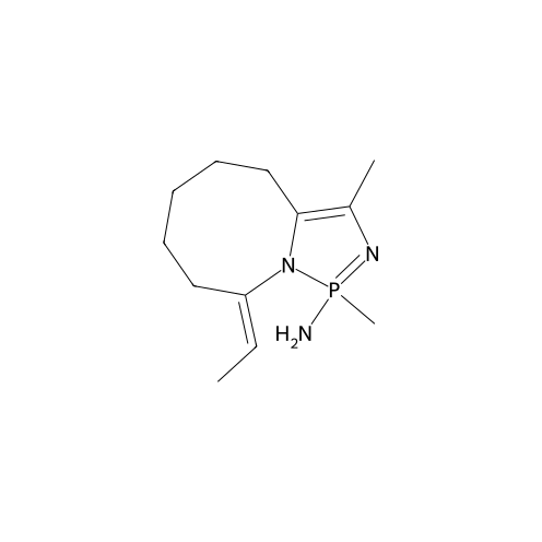 C/C=C1\CCCCCC2=C(C)N=P(C)(N)N21